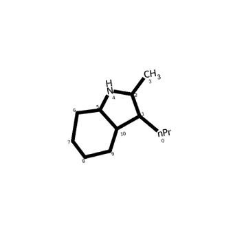 CCCC1C(C)NC2CCCCC21